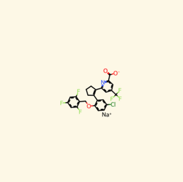 O=C([O-])c1cc(C(F)(F)F)cc(C2=C(c3cc(Cl)ccc3OCc3c(F)cc(F)cc3F)CCC2)n1.[Na+]